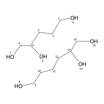 OCCCC(O)CO.OCCCCC(O)CO